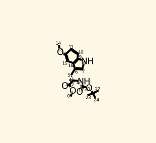 COC(=O)[C@H](Cc1c[nH]c2ccc(OC)cc12)NC(=O)OC(C)(C)C